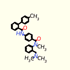 Cc1ccc(-c2ccccc2C(=O)Nc2ccc(C(=O)N(C)c3ccccc3CN(C)C)cc2)cc1